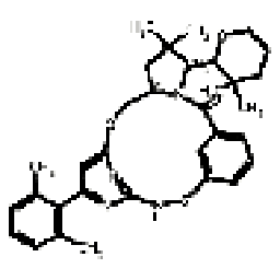 Cc1cccc(C)c1-c1cc2nc(n1)NSc1cccc(c1)C(=O)N(CC1OCCCC1(C)C)[C@H](CC(C)(C)C)CO2